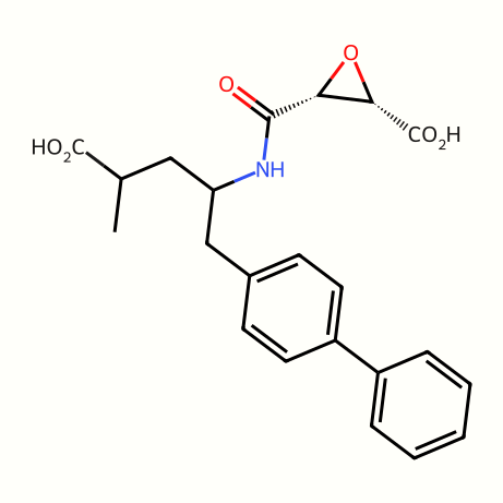 CC(CC(Cc1ccc(-c2ccccc2)cc1)NC(=O)[C@@H]1O[C@@H]1C(=O)O)C(=O)O